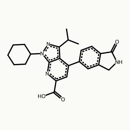 CC(C)c1nn(C2CCCCC2)c2nc(C(=O)O)cc(-c3ccc4c(c3)CNC4=O)c12